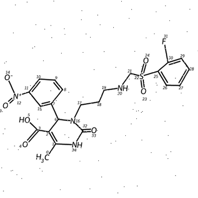 CC1=C(C(=O)O)C(c2cccc([N+](=O)[O-])c2)N(CCCNCS(=O)(=O)c2ccccc2F)C(=O)N1